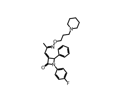 CC(/C=C1/C(=O)N(c2ccc(F)cc2)C1c1ccccc1)=NOCCCN1CCCCC1